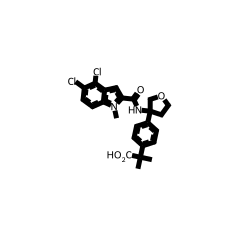 Cn1c(C(=O)NC2(c3ccc(C(C)(C)C(=O)O)cc3)CCOC2)cc2c(Cl)c(Cl)ccc21